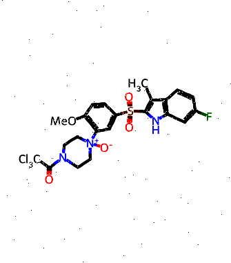 COc1ccc(S(=O)(=O)c2[nH]c3cc(F)ccc3c2C)cc1[N+]1([O-])CCN(C(=O)C(Cl)(Cl)Cl)CC1